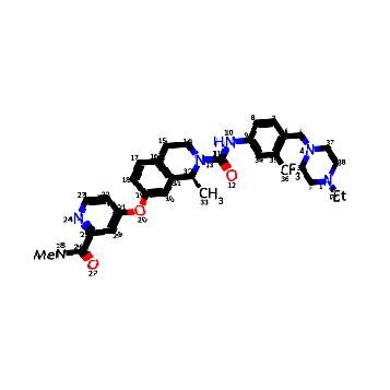 CCN1CCN(Cc2ccc(NC(=O)N3CCc4ccc(Oc5ccnc(C(=O)NC)c5)cc4[C@@H]3C)cc2C(F)(F)F)CC1